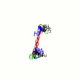 Cc1sc2c(c1C)C(c1ccc(Cl)cc1)=N[C@@H](CC(=O)NCCOCCOCCOCCOCCNC(=O)[C@@H]1N[C@@H](CC(C)(C)C)[C@](C#N)(c3ccc(Cl)cc3F)[C@H]1c1cccc(Cl)c1F)c1nnc(C)n1-2